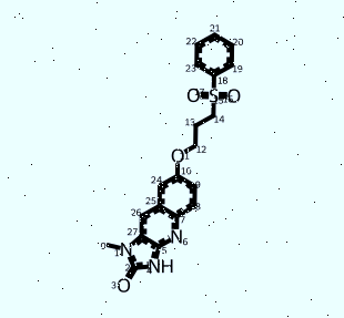 Cn1c(=O)[nH]c2nc3ccc(OCCCS(=O)(=O)c4ccccc4)cc3cc21